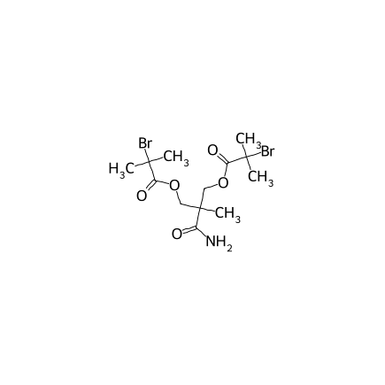 CC(C)(Br)C(=O)OCC(C)(COC(=O)C(C)(C)Br)C(N)=O